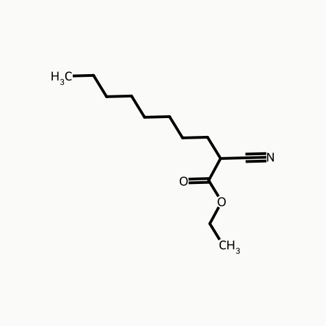 CCCCCCCCC(C#N)C(=O)OCC